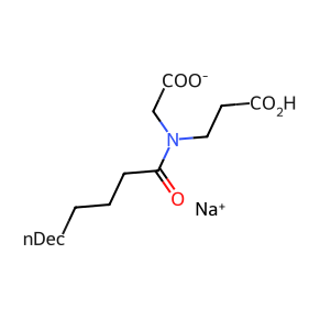 CCCCCCCCCCCCCC(=O)N(CCC(=O)O)CC(=O)[O-].[Na+]